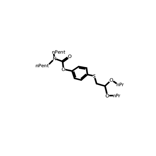 CCCCCN(CCCCC)C(=O)Oc1ccc(SCC(OCCC)OCCC)cc1